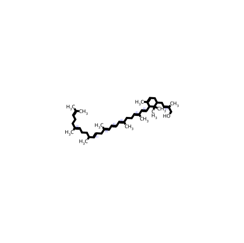 CC(C)=CCC/C(C)=C/CCC(C)/C=C/C/C(C)=C/C=C/C=C(\C)CC/C=C(C)/C=C/C1C(C)=CCC(C/C=C(\C)CO)C1(C)C